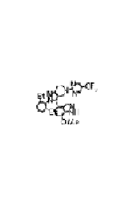 CCc1cccc(CC)c1-n1nc2c(c1-c1ccc(OC)c3[nH]ncc13)CN(c1ncc(C(F)(F)F)cn1)CC2